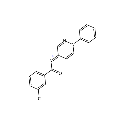 O=C(/N=c1\ccn(-c2ccccc2)nc1)c1cccc(Cl)c1